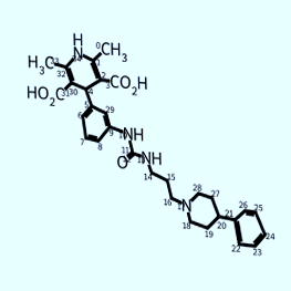 CC1=C(C(=O)O)C(c2cccc(NC(=O)NCCCN3CCC(c4ccccc4)CC3)c2)C(C(=O)O)=C(C)N1